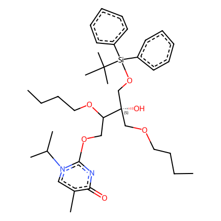 CCCCOC[C@](O)(CO[Si](c1ccccc1)(c1ccccc1)C(C)(C)C)C(COc1nc(=O)c(C)cn1C(C)C)OCCCC